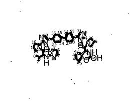 CC(C)[C@H](Nc1ncccn1)C(=O)N1CCC[C@H]1c1ncc(-c2ccc(-c3ccc(-c4cnc([C@@H]5CCCN5C(=O)[C@H](NC(=O)O)c5ccccc5)[nH]4)cc3)cc2)[nH]1